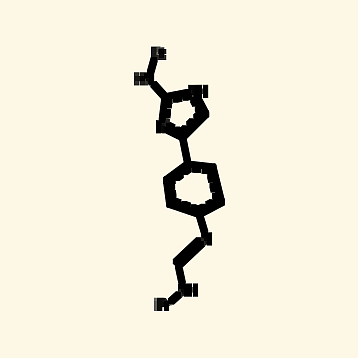 CCNc1nc(-c2ccc(/N=C/NC(C)C)cc2)c[nH]1